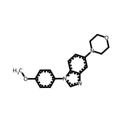 COc1ccc(-n2cnc3cc(N4CCOCC4)ccc32)cc1